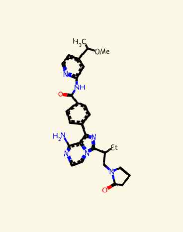 CCC(CN1CCCC1=O)c1nc(-c2ccc(C(=O)Nc3cc(C(C)OC)ccn3)cc2)c2c(N)nccn12